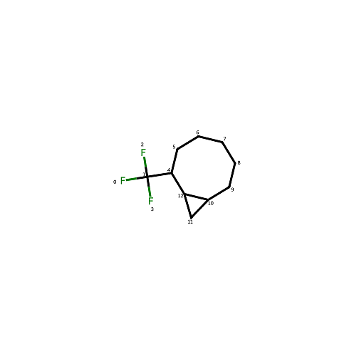 FC(F)(F)C1CCCCCC2CC21